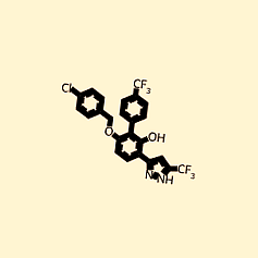 Oc1c(-c2cc(C(F)(F)F)[nH]n2)ccc(OCc2ccc(Cl)cc2)c1-c1ccc(C(F)(F)F)cc1